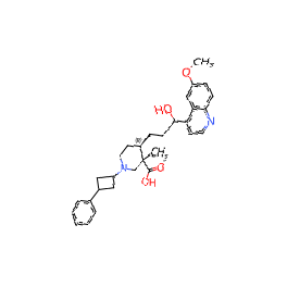 COc1ccc2nccc(C(O)CC[C@@H]3CCN(C4CC(c5ccccc5)C4)CC3(C)C(=O)O)c2c1